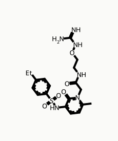 CCc1ccc(S(=O)(=O)Nc2ccc(C)n(CC(=O)NCCONC(=N)N)c2=O)cc1